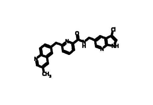 Cc1cnc2ccc(Cc3cccc(C(=O)NCc4cnc5[nH]cc(Cl)c5c4)n3)cc2c1